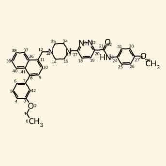 CCOc1cccc(-c2ccc(CN3CCN(c4ccc(C(=O)Nc5ccc(OC)cc5)nn4)CC3)c3ccccc23)c1